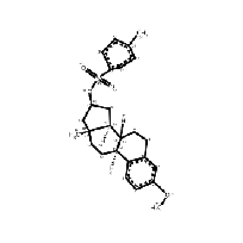 COc1ccc2c(c1)CC[C@@H]1[C@@H]2CC[C@]2(C)C[C@@H](OS(=O)(=O)c3ccc(C)cc3)C[C@@H]12